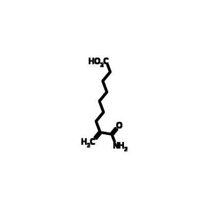 C=C(CCCCCCC(=O)O)C(N)=O